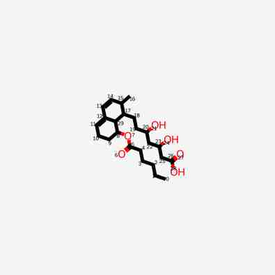 CCCCCC(=O)OC1CCC=C2C=CC(C)C(CCC(O)CC(O)CC(=O)O)C21